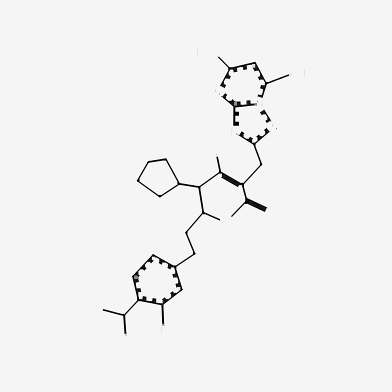 Cc1cc(C)n2nc(CC3=C(O)C(C4CCCC4)C(CCc4ccc(C(C)O)c(F)c4)OC3=O)nc2n1